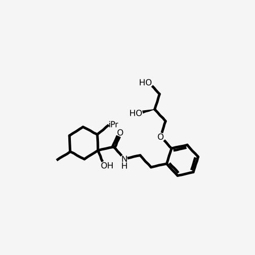 CC1CCC(C(C)C)C(O)(C(=O)NCCc2ccccc2OC[C@@H](O)CO)C1